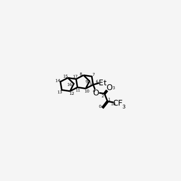 C=C(C(=O)OC1(CC)CC2CC1C1C3CCC(C3)C21)C(F)(F)F